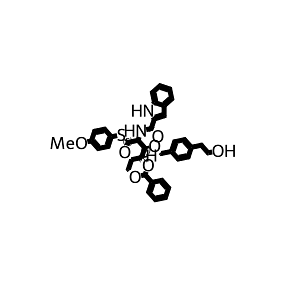 COc1ccc(S[C@@H]2OC3COC(c4ccccc4)O[C@@H]3[C@H](OCc3ccc(CCO)cc3)C2NC(=O)c2cc3ccccc3[nH]2)cc1